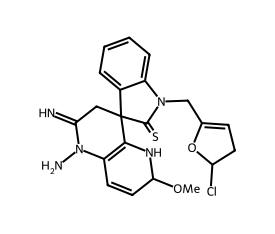 COC1C=CC2=C(N1)C1(CC(=N)N2N)C(=S)N(CC2=CCC(Cl)O2)c2ccccc21